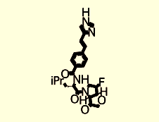 CC(C)C[C@H](NC(=O)c1ccc(/C=C/c2c[nH]cn2)cc1)C(=O)N1CC(F)[C@H]2OCC(=O)[C@H]21